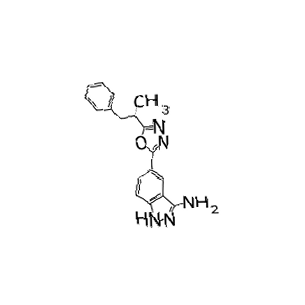 C[C@@H](Cc1ccccc1)c1nnc(-c2ccc3[nH]nc(N)c3c2)o1